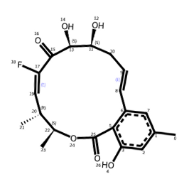 Cc1cc(O)c2c(c1)/C=C/C[C@H](O)[C@H](O)C(=O)/C(F)=C\[C@@H](C)[C@H](C)OC2=O